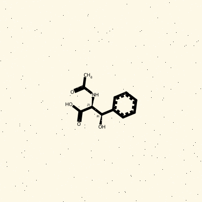 CC(=O)N[C@H](C(=O)O)[C@H](O)c1ccccc1